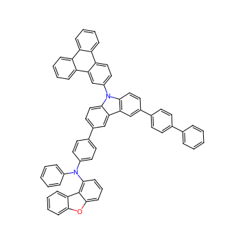 c1ccc(-c2ccc(-c3ccc4c(c3)c3cc(-c5ccc(N(c6ccccc6)c6cccc7oc8ccccc8c67)cc5)ccc3n4-c3ccc4c5ccccc5c5ccccc5c4c3)cc2)cc1